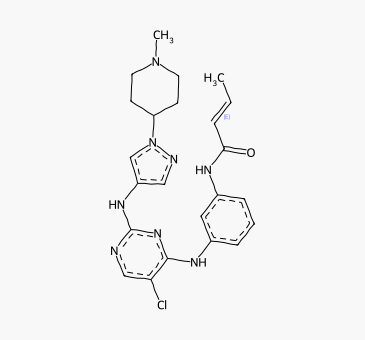 C/C=C/C(=O)Nc1cccc(Nc2nc(Nc3cnn(C4CCN(C)CC4)c3)ncc2Cl)c1